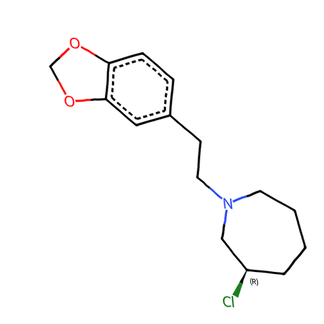 Cl[C@@H]1CCCCN(CCc2ccc3c(c2)OCO3)C1